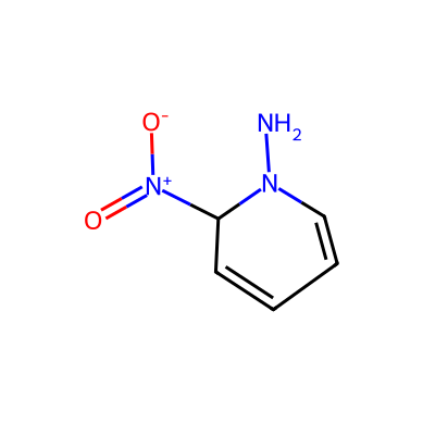 NN1C=CC=CC1[N+](=O)[O-]